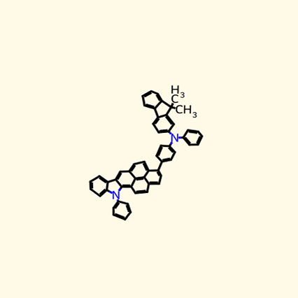 CC1(C)c2ccccc2-c2ccc(N(c3ccccc3)c3ccc(-c4ccc5ccc6c7c(ccc4c57)cc4c5ccccc5n(-c5ccccc5)c46)cc3)cc21